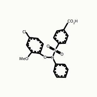 COc1cc(Cl)ccc1ON(c1ccccc1)S(=O)(=O)c1ccc(C(=O)O)cc1